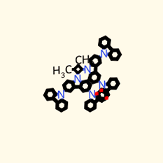 CC1C(C)C(n2c3ccc(-n4c5ccccc5c5ccccc54)cc3c3cc(-n4c5ccccc5c5ccccc54)ccc32)C1n1c2ccc(-n3c4ccccc4c4ccccc43)cc2c2cc(-n3c4ccccc4c4ccccc43)ccc21